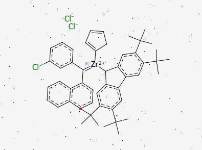 CC(C)(C)c1cc2c(cc1C(C)(C)C)[CH](/[Zr+2]([C]1=CC=CC1)=[C](/c1cccc(Cl)c1)c1cccc3ccccc13)c1cc(C(C)(C)C)c(C(C)(C)C)cc1-2.[Cl-].[Cl-]